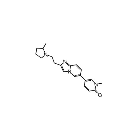 CC1CCCN1CCc1cn2cc(-c3ccc(=O)n(C)c3)ccc2n1